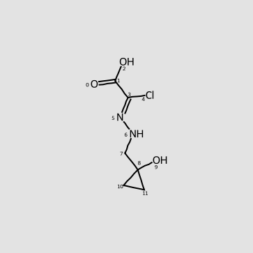 O=C(O)C(Cl)=NNCC1(O)CC1